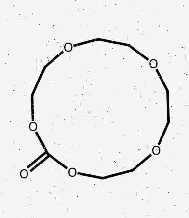 O=C1OCCOCCOCCOCCO1